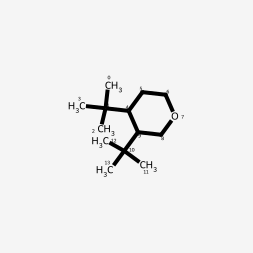 CC(C)(C)C1CCOCC1C(C)(C)C